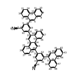 N#Cc1cc(-c2cc3ccccc3c3ccccc23)cc(-c2cc3c4ccccc4c(-c4cc(C#N)cc(-c5cc6ccccc6c6ccccc56)c4)cc3c3ccccc23)c1